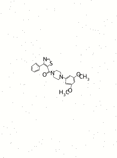 COc1cc(OC)cc(N2CCN(C(=O)c3scnc3-c3ccccc3)CC2)c1